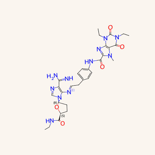 CCNC(=O)[C@@H]1CC[C@H](n2cnc(C(=N)N)c2/N=C/Cc2ccc(NC(=O)c3nc4c(c(=O)n(CC)c(=O)n4CC)n3C)cc2)O1